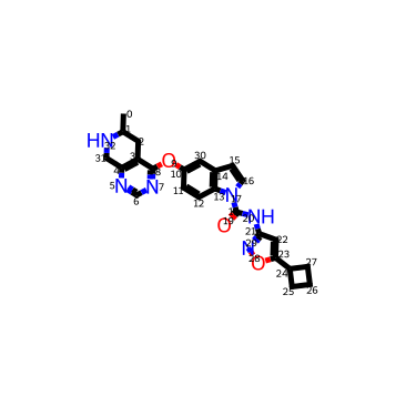 CC1Cc2c(ncnc2Oc2ccc3c(ccn3C(=O)Nc3cc(C4CCC4)on3)c2)CN1